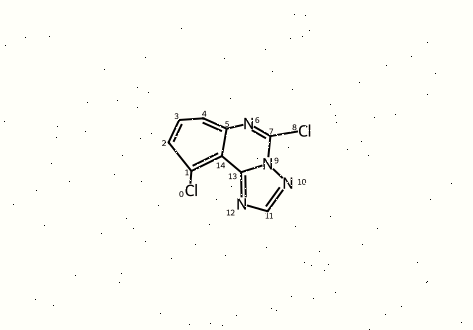 Clc1cccc2nc(Cl)n3ncnc3c12